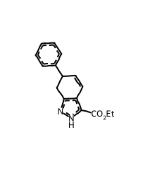 CCOC(=O)c1[nH]nc2c1C=CC(c1ccccc1)C2